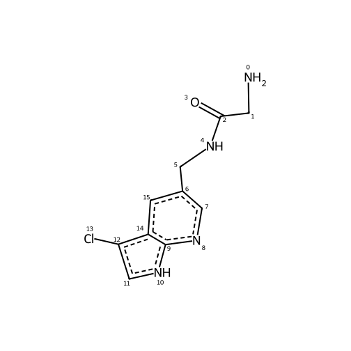 NCC(=O)NCc1cnc2[nH]cc(Cl)c2c1